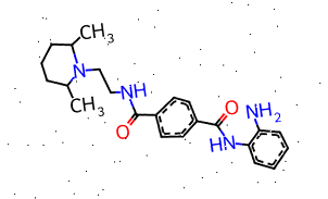 CC1CCCC(C)N1CCNC(=O)c1ccc(C(=O)Nc2ccccc2N)cc1